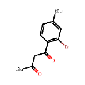 CC(C)(C)C(=O)CC(=O)c1ccc(C(C)(C)C)cc1Br